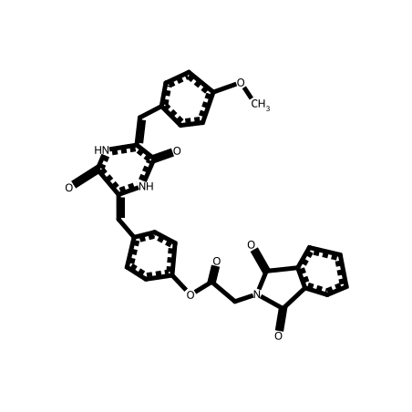 COc1ccc(C=c2[nH]c(=O)c(=Cc3ccc(OC(=O)CN4C(=O)c5ccccc5C4=O)cc3)[nH]c2=O)cc1